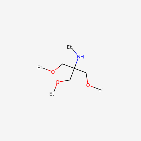 CCNC(COCC)(COCC)COCC